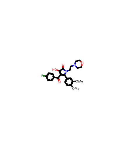 COc1ccc(C2C(C(=O)c3ccc(F)cc3)=C(O)C(=O)N2CCN2CCOCC2)cc1OC